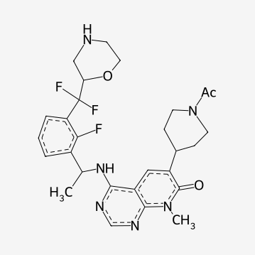 CC(=O)N1CCC(c2cc3c(NC(C)c4cccc(C(F)(F)C5CNCCO5)c4F)ncnc3n(C)c2=O)CC1